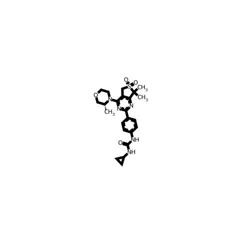 C[C@@H]1COCCN1c1nc(-c2ccc(NC(=O)NC3CC3)cc2)nc2c1CS(=O)(=O)C2(C)C